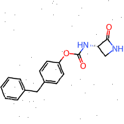 O=C(N[C@H]1CNC1=O)Oc1ccc(Cc2ccccc2)cc1